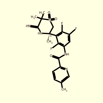 Cc1ccc(C(=O)Nc2cc(F)c(F)c([C@]3(C)CS(=O)(=O)C(C)(C)C(=N)N3)c2F)nc1